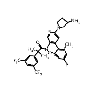 Cc1cc(F)ccc1-c1cc(N2CCC(N)C2)ncc1N(C)C(=O)C(C)(C)c1cc(C(F)(F)F)cc(C(F)(F)F)c1